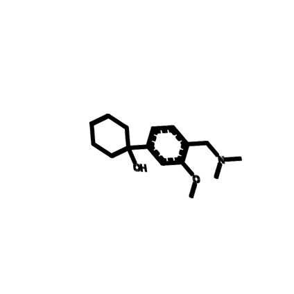 COc1cc(C2(O)CCCCC2)ccc1CN(C)C